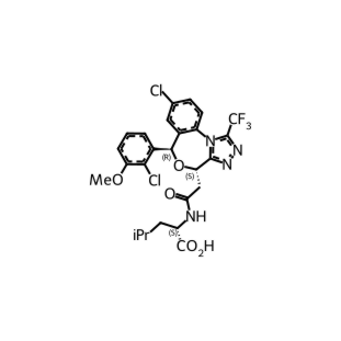 COc1cccc([C@@H]2O[C@@H](CC(=O)N[C@@H](CC(C)C)C(=O)O)c3nnc(C(F)(F)F)n3-c3ccc(Cl)cc32)c1Cl